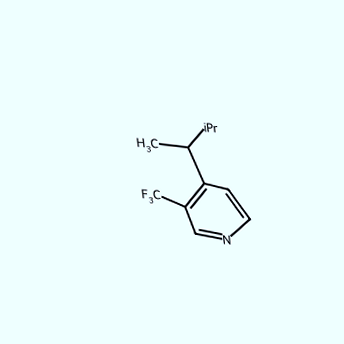 CC(C)C(C)c1ccncc1C(F)(F)F